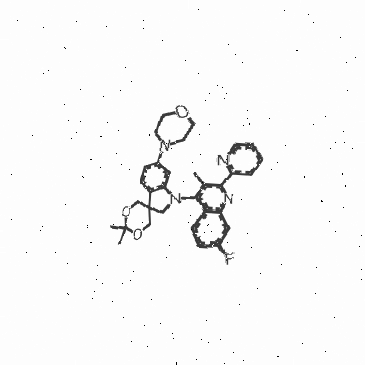 Cc1c(-c2ccccn2)nc2cc(F)ccc2c1N1CC2(COC(C)(C)OC2)c2ccc(N3CCOCC3)cc21